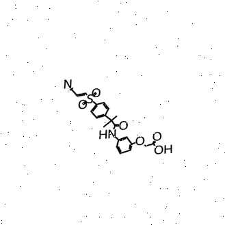 CC(C)(C(=O)Nc1cccc(OCC(=O)O)c1)c1ccc(S(=O)(=O)C=CC#N)cc1